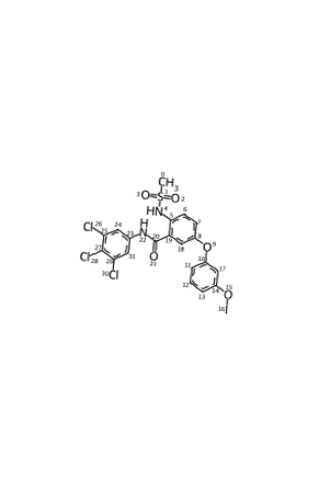 CS(=O)(=O)Nc1ccc(Oc2cccc(OI)c2)cc1C(=O)Nc1cc(Cl)c(Cl)c(Cl)c1